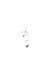 CC(C)(C)OC(=O)NC1CN(C(=O)CS)NC1=O